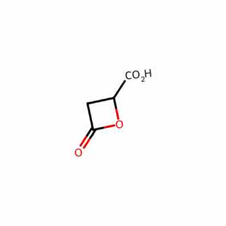 O=C1CC(C(=O)O)O1